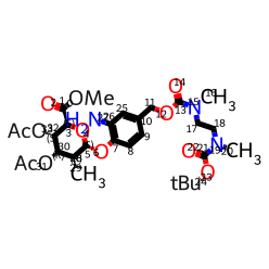 COC(=O)[C@H]1O[C@@H](Oc2ccc(COC(=O)N(C)CCN(C)C(=O)OC(C)(C)C)cc2N)[C@H](C)[C@@H](OC(C)=O)[C@@H]1OC(C)=O